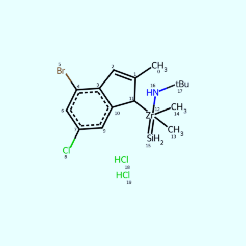 CC1=Cc2c(Br)cc(Cl)cc2[CH]1[Zr]([CH3])([CH3])(=[SiH2])[NH]C(C)(C)C.Cl.Cl